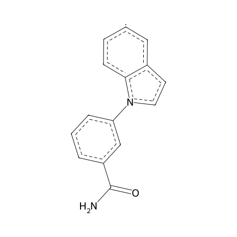 NC(=O)c1cccc(-n2ccc3c[c]ccc32)c1